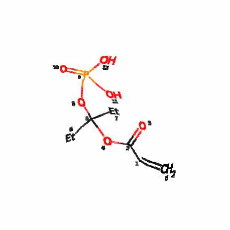 C=CC(=O)OC(CC)(CC)OP(=O)(O)O